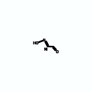 O=CC=NO.[Ni]